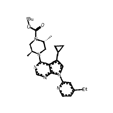 CCc1ccnc(-n2cc(C3CC3)c3c(N4C[C@@H](C)N(C(=O)OC(C)(C)C)C[C@@H]4C)ncnc32)c1